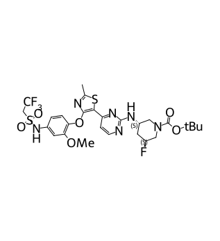 COc1cc(NS(=O)(=O)CC(F)(F)F)ccc1Oc1nc(C)sc1-c1ccnc(N[C@H]2C[C@H](F)CN(C(=O)OC(C)(C)C)C2)n1